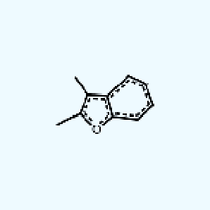 Cc1oc2cc[c]cc2c1C